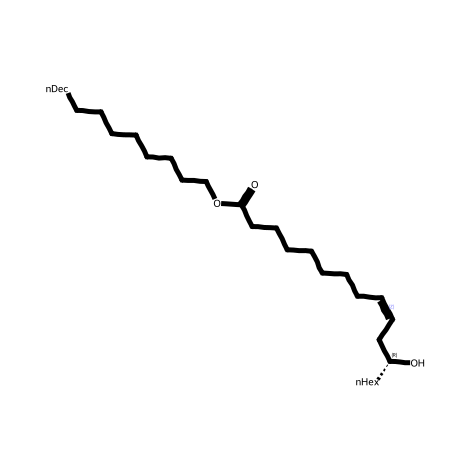 CCCCCCCCCCCCCCCCCCOC(=O)CCCCCCC/C=C\C[C@H](O)CCCCCC